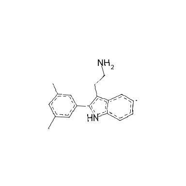 Cc1cc(C)cc(-c2[nH]c3cc[c]cc3c2CCN)c1